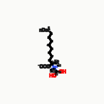 CCCCCCCCCCCCCCCCCCC(CC)(C(=O)[O-])[N+](C)(C)C(O)O